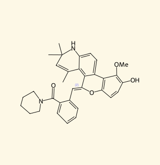 COc1c(O)ccc2c1-c1ccc3c(c1/C(=C/c1ccccc1C(=O)N1CCCCC1)O2)C(C)=CC(C)(C)N3